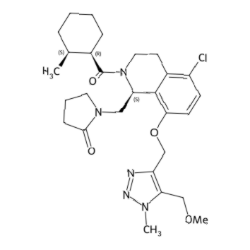 COCc1c(COc2ccc(Cl)c3c2[C@@H](CN2CCCC2=O)N(C(=O)[C@@H]2CCCC[C@@H]2C)CC3)nnn1C